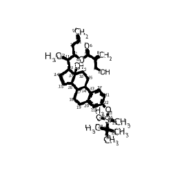 C=CCC(OC(=O)C(=C)CO)C(C)C1CCC2C3CCc4cc(O[Si](C)(C)C(C)(C)C)ccc4C3CCC12C